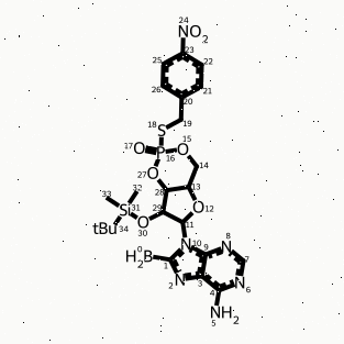 Bc1nc2c(N)ncnc2n1C1OC2COP(=O)(SCc3ccc([N+](=O)[O-])cc3)OC2C1O[Si](C)(C)C(C)(C)C